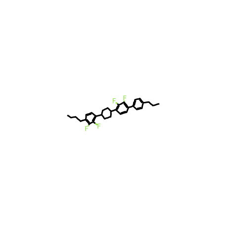 CCCCc1ccc(C2CCC(c3ccc(-c4ccc(CCC)cc4)c(F)c3F)CC2)c(F)c1F